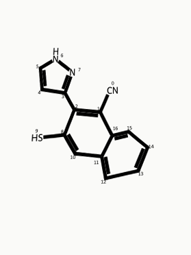 N#Cc1c(-c2cc[nH]n2)c(S)cc2ccccc12